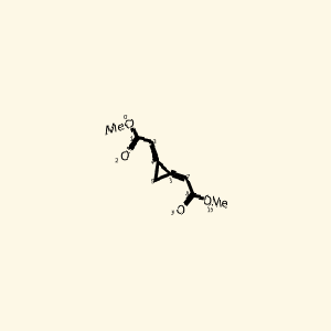 COC(=O)/C=C1\C\C1=C/C(=O)OC